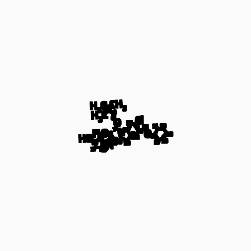 C[Si](C)(C)CCOCn1c(O[C@@H]2CO[C@H]3[C@@H]2OC[C@H]3O)cc2nc(COc3ccccc3)c(Cl)cc21